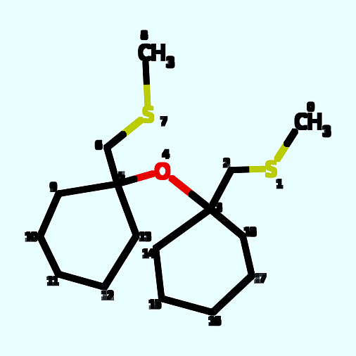 CSCC1(OC2(CSC)CCCCC2)CCCCC1